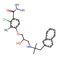 CCCN(CCC)C(=O)c1ccc(OCC(O)CNC(C)(C)Cc2ccc3ccccc3c2)c(C#N)c1Cl